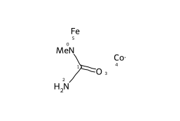 CNC(N)=O.[Co].[Fe]